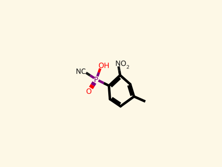 Cc1ccc(P(=O)(O)C#N)c([N+](=O)[O-])c1